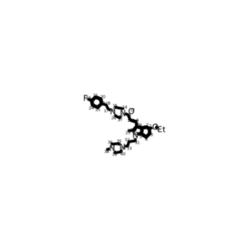 CCOc1ccc2c(c1)c(C=CC(=O)N1CCN(CCc3ccc(F)cc3)CC1)c(C)n2CCCN1CCN(C)CC1